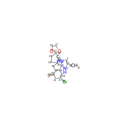 CC1=CNC2(N1)C1=C(CC23CCC2(CC3)OCCO2)C(=S)CC(Br)=C1